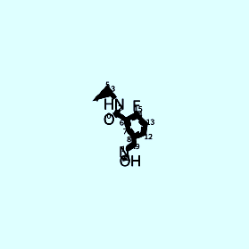 O=C(NC1CC1)c1cc([C]=NO)ccc1F